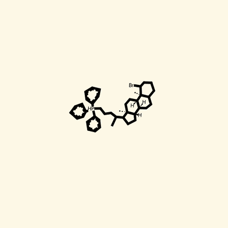 CC(CCC[PH](c1ccccc1)(c1ccccc1)c1ccccc1)C1CC[C@H]2[C@@H]3CCC4CCCC(Br)[C@]4(C)[C@@H]3CC[C@]12C